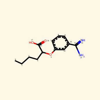 CCCCC(Oc1cccc(C(=N)N)c1)C(=O)O